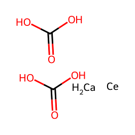 O=C(O)O.O=C(O)O.[CaH2].[Ce]